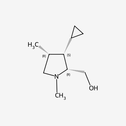 C[C@H]1CN(C)[C@@H](CO)[C@H]1C1CC1